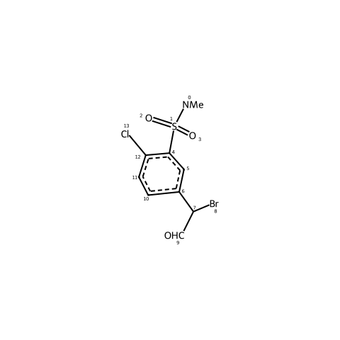 CNS(=O)(=O)c1cc(C(Br)C=O)ccc1Cl